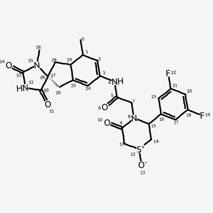 CC1C=C(NC(=O)CN2C(=O)C[S+]([O-])CC2c2cc(F)cc(F)c2)C=C2C[C@]3(CC21)C(=O)NC(=O)N3C